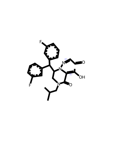 C/C(O)=C1/C(=O)N(CC(C)C)CC(C(c2cccc(F)c2)c2cccc(F)c2)N1/N=C\C=O